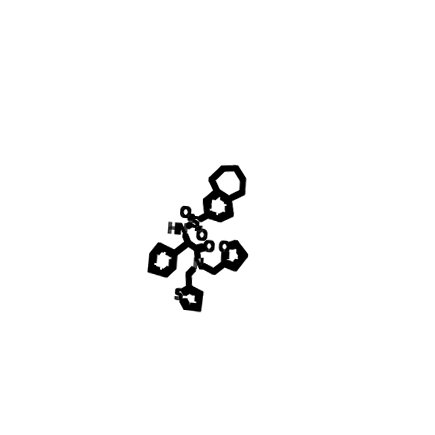 O=C(C(NS(=O)(=O)c1ccc2c(c1)CCCCC2)c1ccccc1)N(Cc1ccco1)Cc1cccs1